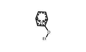 CCOc1cc2ccc1o2